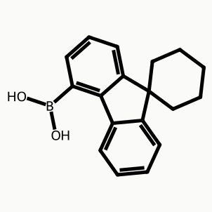 OB(O)c1cccc2c1-c1ccccc1C21CCCCC1